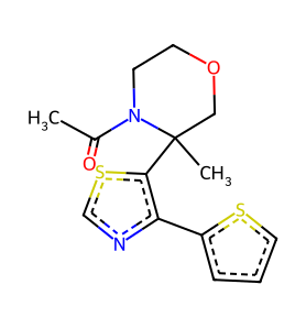 CC(=O)N1CCOCC1(C)c1scnc1-c1cccs1